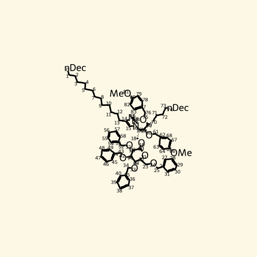 CCCCCCCCCCCCCCCCCCCCCCCc1cn([C@@H](CO[C@H]2OC(COCc3ccccc3)[C@H](OCc3ccccc3)[C@@H](OCc3ccccc3)[C@@H]2OCc2ccccc2)[C@H](OCc2ccc(OC)cc2)[C@@H](CCCCCCCCCCCCCC)OCc2ccc(OC)cc2)nn1